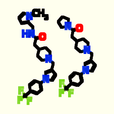 Cn1cccc1CNC(=O)CC1CCN(Cc2ccn(-c3ccc(C(F)(F)F)cc3)c2)CC1.O=C(CC1CCN(Cc2ccn(-c3ccc(C(F)(F)F)cc3)c2)CC1)N1CCCC1